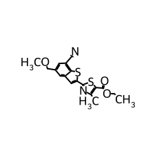 CCOC(=O)c1sc(-c2cc3cc(COC)cc(C#N)c3s2)nc1C